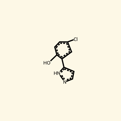 Oc1ccc(Cl)cc1-c1ccn[nH]1